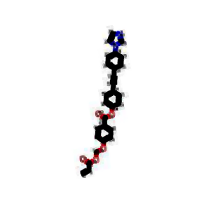 C=CC(=O)OCOc1ccc(C(=O)Oc2ccc(C#Cc3ccc(-n4ccnc4)cc3)cc2)cc1